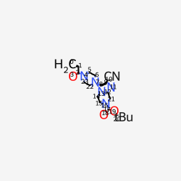 C=CC(=O)N1CCN(c2c(C#N)nc3n2CCN(C(=O)OC(C)(C)C)C3)CC1